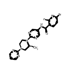 C[C@H]1CN(c2ncccn2)CCN1c1ncc(NC(=O)c2ccc(Br)nc2F)cn1